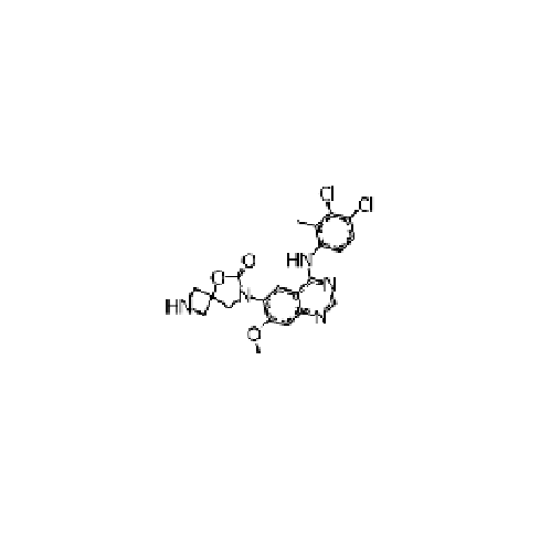 COc1cc2ncnc(Nc3ccc(Cl)c(Cl)c3C)c2cc1N1CC2(CNC2)OC1=O